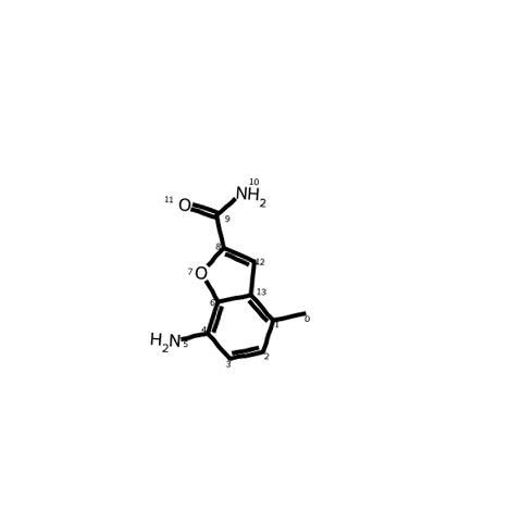 Cc1ccc(N)c2oc(C(N)=O)cc12